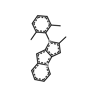 Cc1cccc(C)c1-n1c(C)cc2c1cc1ccccn12